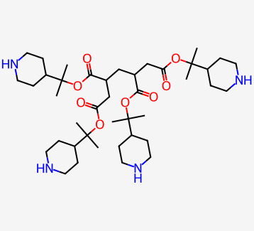 CC(C)(OC(=O)CC(CC(CC(=O)OC(C)(C)C1CCNCC1)C(=O)OC(C)(C)C1CCNCC1)C(=O)OC(C)(C)C1CCNCC1)C1CCNCC1